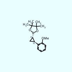 COc1ccccc1[C@H]1C[C@@H]1B1OC(C)(C)C(C)(C)O1